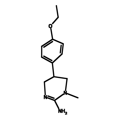 CCOc1ccc(C2CN=C(N)N(C)C2)cc1